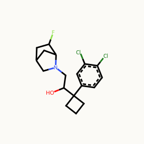 OC(CN1CC2CC(F)C1C2)C1(c2ccc(Cl)c(Cl)c2)CCC1